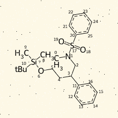 CN(CC(CCO[Si](C)(C)C(C)(C)C)c1ccccc1)S(=O)(=O)c1ccccc1